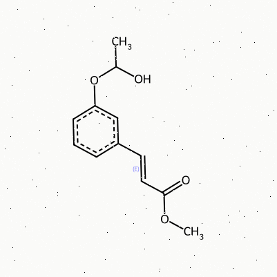 COC(=O)/C=C/c1cccc(OC(C)O)c1